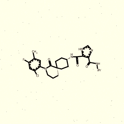 Cc1cc(N2CCC[C@]3(CC[C@@H](NC(=O)c4[nH]cnc4C(=O)NC(C)C)CC3)C2=O)c(Cl)cc1F